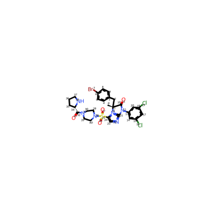 C[C@@]1(Cc2ccc(Br)cc2)C(=O)N(c2cc(Cl)cc(Cl)c2)c2ncc(S(=O)(=O)N3CCN(C(=O)[C@@H]4CCCN4)CC3)n21